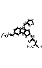 CON=Cc1ccc2c(c1)c1c(n2Cc2ccsn2)C[C@@H](NC(=O)OC(C)C)C1